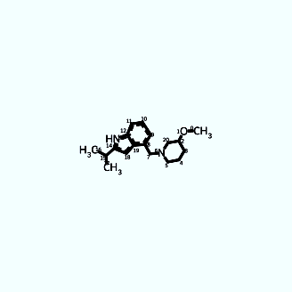 COC1CCCN(Cc2cccc3[nH]c(C(C)C)cc23)C1